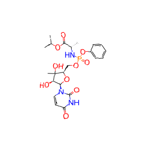 CC(C)OC(=O)[C@H](C)NP(=O)(OC[C@H]1O[C@@H](n2ccc(=O)[nH]c2=O)[C@@H](O)C1(C)O)Oc1ccccc1